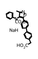 CCOC(=O)N(c1ccccc1)c1c(C)noc1-c1ccc(-c2ccc(CC(=O)O)cc2)cc1.[NaH]